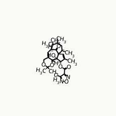 CC1=C[C@]23C(=O)[C@@H](C=C4COC(C)(C)O[C@H]4[C@]2(O)[C@H]1OC(=O)c1nonc1C)C(C)(C)[C@@H](C)C[C@H]3C